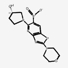 O=[N+]([O-])c1cc2oc(N3CCOCC3)nc2nc1N1CC[C@H](O)C1